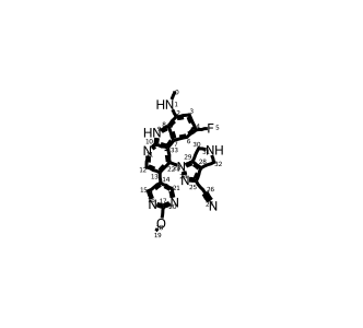 CNc1cc(F)cc2c1[nH]c1ncc(-c3cnc(OC)nc3)c(-n3nc(C#N)c4c3CNC4)c12